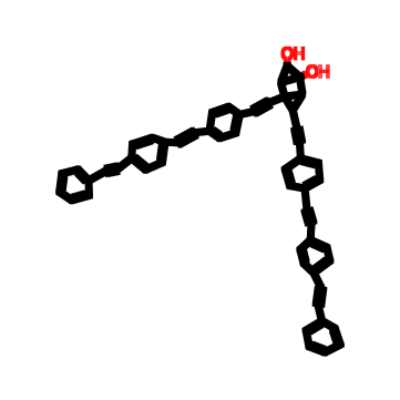 OC1C2C1(O)C1C(C#Cc3ccc(C#Cc4ccc(C#Cc5ccccc5)cc4)cc3)C21C#Cc1ccc(C#Cc2ccc(C#Cc3ccccc3)cc2)cc1